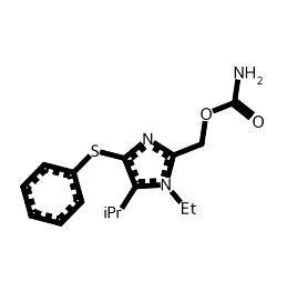 CCn1c(COC(N)=O)nc(Sc2ccccc2)c1C(C)C